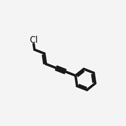 ClCC=CC#Cc1ccccc1